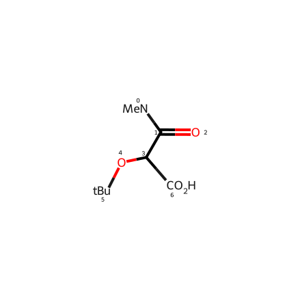 CNC(=O)C(OC(C)(C)C)C(=O)O